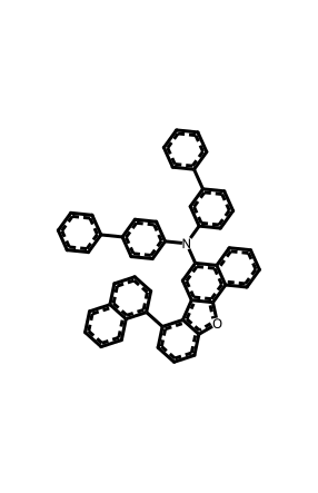 c1ccc(-c2ccc(N(c3cccc(-c4ccccc4)c3)c3cc4c(oc5cccc(-c6cccc7ccccc67)c54)c4ccccc34)cc2)cc1